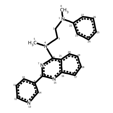 CN(CCN(C)c1nc(-c2cccnc2)nc2ccccc12)c1ccccc1